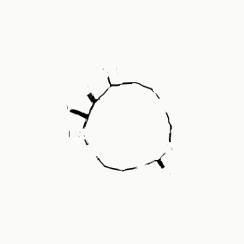 NC1CCCCNC(=O)CCCCNC(=O)C1=O